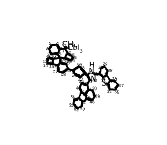 CC1(C)c2ccccc2C2(c3ccccc3-c3ccc(-c4ccc(-c5[nH]c(-c6cccc7c6sc6ccccc67)nc5-c5ccc6c7c(cccc57)-c5ccccc5-6)cc4)cc32)c2ccccc21